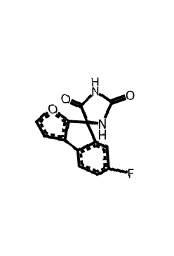 O=C1NC(=O)C2(N1)c1cc(F)ccc1-c1ccoc12